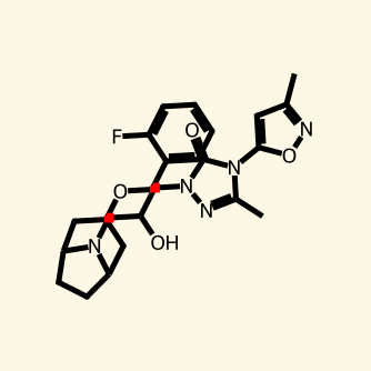 Cc1cc(-n2c(C)nn(CC(O)CN3C4CCC3CC(OCc3ccccc3F)C4)c2=O)on1